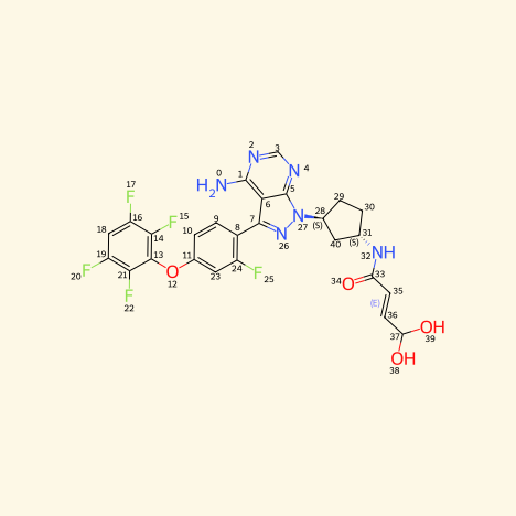 Nc1ncnc2c1c(-c1ccc(Oc3c(F)c(F)cc(F)c3F)cc1F)nn2[C@H]1CC[C@H](NC(=O)/C=C/C(O)O)C1